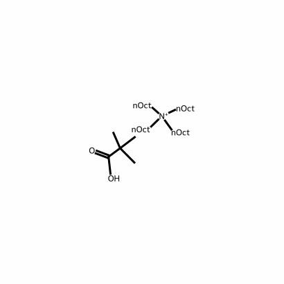 CC(C)(C)C(=O)O.CCCCCCCC[N+](CCCCCCCC)(CCCCCCCC)CCCCCCCC